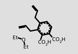 C=CCc1ccc(C(=O)O)c(C(=O)O)c1CC=C.CCOCC